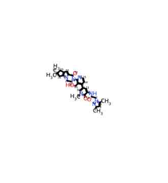 Cc1cc(C)n(CC(=O)Nc2cc(-c3ccnc(N4CCn5c(cc6c5CC(C)(C)C6)C4=O)c3CO)cn(C)c2=O)n1